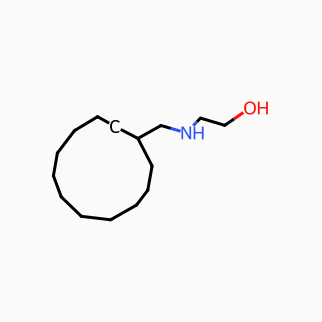 OCCNCC1CCCCCCCCCCC1